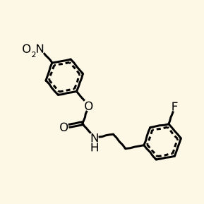 O=C(NCCc1cccc(F)c1)Oc1ccc([N+](=O)[O-])cc1